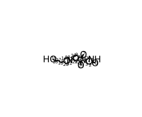 O=C1CCC(N2C(=O)c3ccc(N4CCC(CCCO)CC4)cc3C2=O)CN1